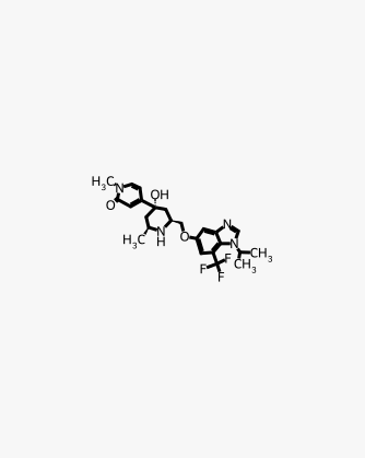 CC(C)n1cnc2cc(OC[C@@H]3C[C@](O)(c4ccn(C)c(=O)c4)C[C@H](C)N3)cc(C(F)(F)F)c21